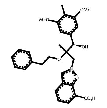 COc1cc([C@@H](O)C(C)(Cn2cc3cccc(C(=O)O)c3n2)OCCc2ccccc2)cc(OC)c1C